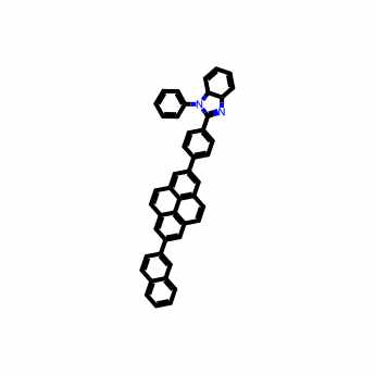 C1=CC2N=C(c3ccc(-c4cc5ccc6cc(-c7ccc8ccccc8c7)cc7ccc(c4)c5c67)cc3)N(c3ccccc3)C2C=C1